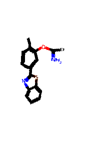 CCC(N)Oc1cc(-c2nc3ccccc3s2)ccc1C